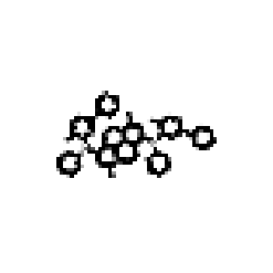 Cc1ccc(-c2ccccc2)cc1N(c1ccccc1)c1cc(C)c2ccc3c(N(c4ccccc4)c4cc(-c5ccccc5)ccc4C)cc(C)c4ccc1c2c43